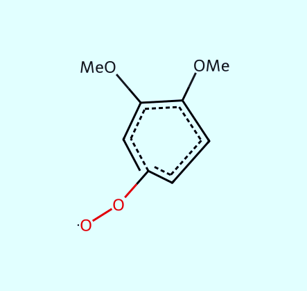 COc1ccc(O[O])cc1OC